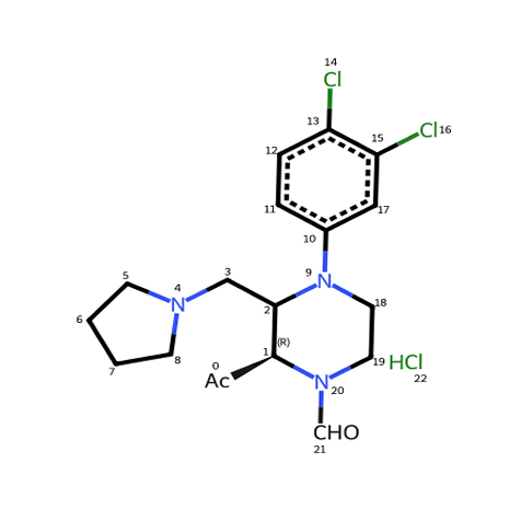 CC(=O)[C@H]1C(CN2CCCC2)N(c2ccc(Cl)c(Cl)c2)CCN1C=O.Cl